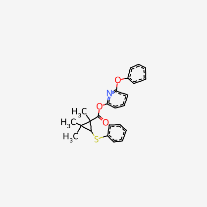 CC1(C)C(Sc2ccccc2)C1(C)C(=O)Oc1cccc(Oc2ccccc2)n1